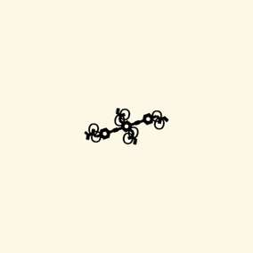 C=CC(=O)Oc1ccc(C#Cc2cc(OC(=O)C=C)c(C#Cc3ccc(OC(=O)C(=C)C)cc3)cc2OC(=O)C=C)cc1